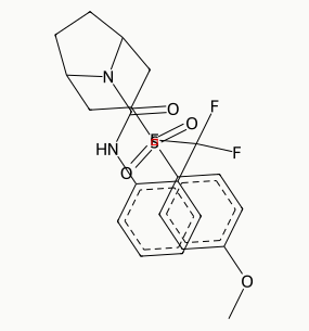 COc1ccc(S(=O)(=O)C2CC3CCC(C2)N3C(=O)Nc2ccccc2C(F)(F)F)cc1